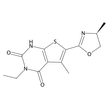 CCn1c(=O)[nH]c2sc(C3=N[C@@H](C)CO3)c(C)c2c1=O